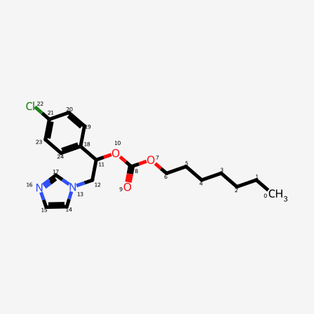 CCCCCCCOC(=O)OC(Cn1ccnc1)c1ccc(Cl)cc1